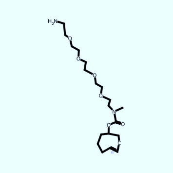 CN(CCOCCOCCOCCOCCN)C(=O)OC1CC/C=C/CCC1